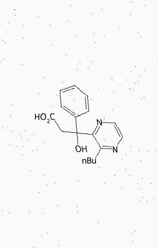 CCCCc1nccnc1C(O)(CC(=O)O)c1ccccc1